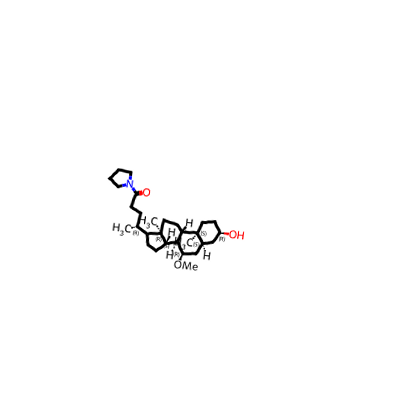 CO[C@@H]1C[C@@H]2C[C@H](O)CC[C@]2(C)[C@H]2CC[C@]3(C)C([C@H](C)CCC(=O)N4CCCC4)CC[C@H]3[C@H]12